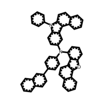 c1ccc(-n2c3ccc(N(c4ccc(-c5ccc6ccccc6c5)cc4)c4cccc5oc6c7ccccc7ccc6c45)cc3c3c4ccccc4ccc32)cc1